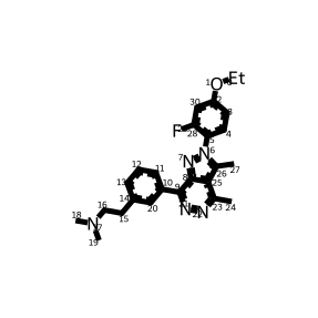 CCOc1ccc(-n2nc3c(-c4cccc(CCN(C)C)c4)nnc(C)c3c2C)c(F)c1